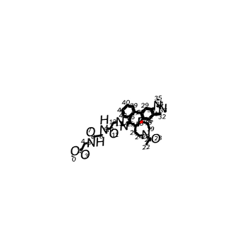 COC(=O)CNC(=O)CNC(=O)Cn1nc(C2CCCN(C(C)=O)CC2)c2c(-c3cc4c(cnn4C)cc3F)cccc21